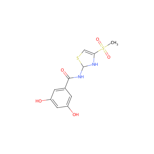 CS(=O)(=O)C1=CSC(NC(=O)c2cc(O)cc(O)c2)N1